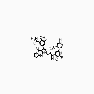 C[C@H]1CNCCN1c1cc(NC(=O)Cn2cc(-c3cc(F)c(O)c(C(N)=O)c3)c3c(=O)n4c(nc32)CCC4)c(Cl)c(F)n1